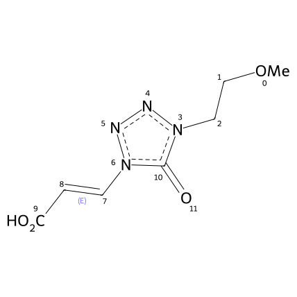 COCCn1nnn(/C=C/C(=O)O)c1=O